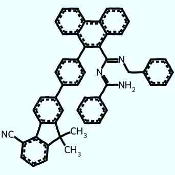 CC1(C)c2cc(-c3ccc(-c4c(C(/N=C(\N)c5ccccc5)=N/Cc5ccccc5)c5ccccc5c5ccccc45)cc3)ccc2-c2c(C#N)cccc21